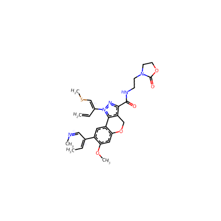 C=C/C(=C\SC)n1nc(C(=O)NCCN2CCOC2=O)c2c1-c1cc(C(/C=N\C)=C/C)c(OC)cc1OC2